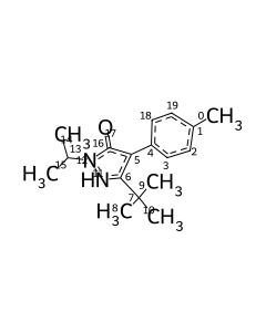 Cc1ccc(-c2c(C(C)(C)C)[nH]n(C(C)C)c2=O)cc1